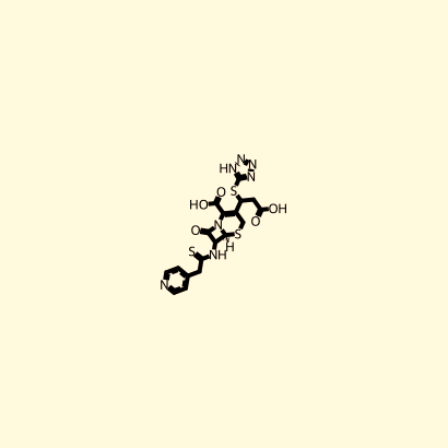 O=C(O)CC(Sc1nnn[nH]1)C1=C(C(=O)O)N2C(=O)C(NC(=S)Cc3ccncc3)[C@@H]2SC1